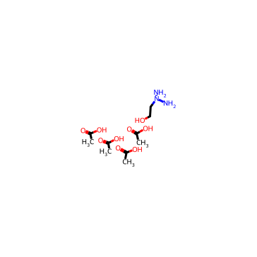 CC(=O)O.CC(=O)O.CC(=O)O.CC(=O)O.NN(N)CCO